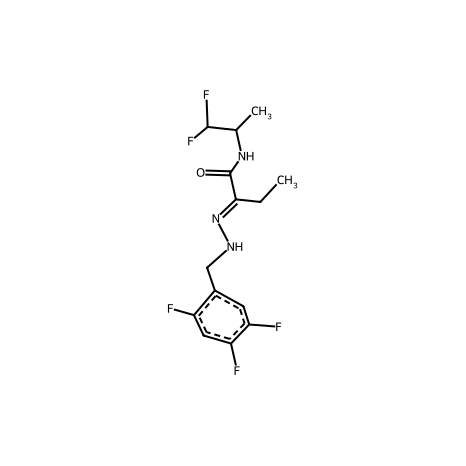 CC/C(=N\NCc1cc(F)c(F)cc1F)C(=O)NC(C)C(F)F